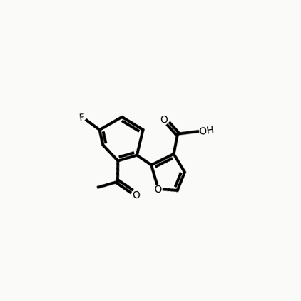 CC(=O)c1cc(F)ccc1-c1occc1C(=O)O